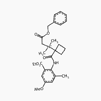 CCOC(=O)c1cc(OC)cc(C)c1NC(=O)C1([N+](C)(C)CC(=O)OCc2ccccc2)CCC1